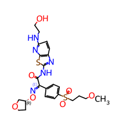 COCCCS(=O)(=O)c1ccc(/C(=N\O[C@@H]2CCOC2)C(=O)Nc2nc3ccc(NCCO)nc3s2)cc1